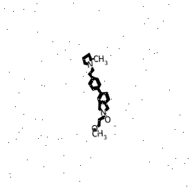 COCCC(=O)N1Cc2ccc(-c3ccc(CCN4CCC[C@H]4C)cc3)cc2C1